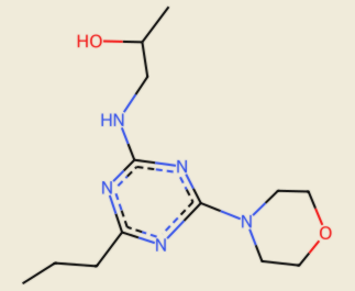 CCCc1nc(NCC(C)O)nc(N2CCOCC2)n1